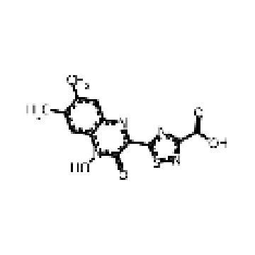 Cc1cc2nc(-c3nc(C(=O)O)ns3)c(=O)n(O)c2cc1C